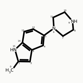 Cc1cc2cc(N3CCNCC3)ccc2[nH]1